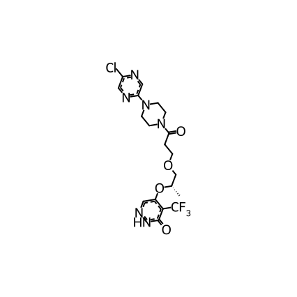 C[C@@H](COCCC(=O)N1CCN(c2cnc(Cl)cn2)CC1)Oc1cn[nH]c(=O)c1C(F)(F)F